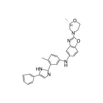 Cc1ccc(Nc2ccc3oc(N4CCO[C@@H](C)C4)nc3c2)cc1-c1ncc(-c2ccccc2)[nH]1